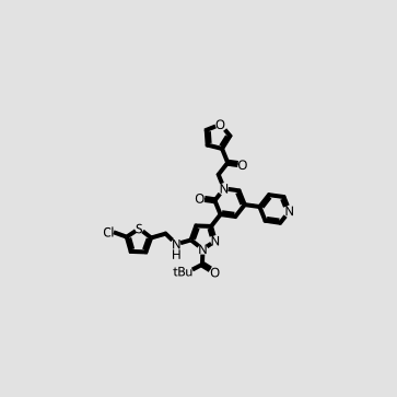 CC(C)(C)C(=O)n1nc(-c2cc(-c3ccncc3)cn(CC(=O)c3ccoc3)c2=O)cc1NCc1ccc(Cl)s1